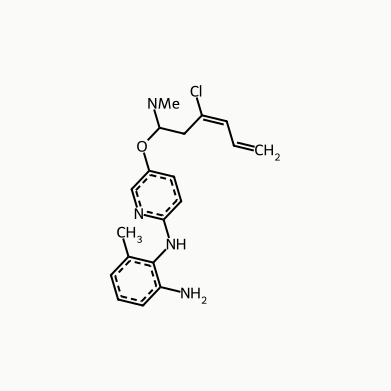 C=C/C=C(/Cl)CC(NC)Oc1ccc(Nc2c(C)cccc2N)nc1